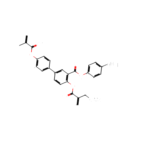 C=C(C)C(=O)Oc1ccc(-c2ccc(OC(=O)C(=C)COC)c(C(=O)Oc3ccc(CCCCCCC)cc3)c2)cc1